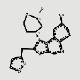 CC[C@@H]1C[C@H](n2c(Cc3ccon3)nc3cnc4ccc(C#N)cc4c32)CCO1